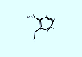 COc1ccncc1CCl